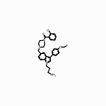 NCCCn1cc(-c2ccc(OCF)cc2)c2cc(CN3CCN(C(=O)c4ccccc4Cl)CC3)ccc21